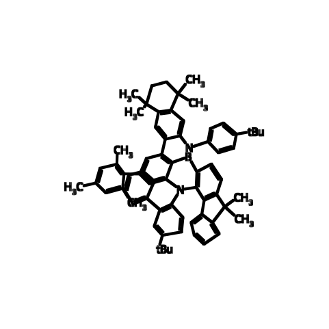 Cc1cc(C)c(-c2cc3c4c(c2)N(c2ccc(C(C)(C)C)cc2-c2ccccc2)c2c(ccc5c2-c2ccccc2C5(C)C)B4N(c2ccc(C(C)(C)C)cc2)c2cc4c(cc2-3)C(C)(C)CCC4(C)C)c(C)c1